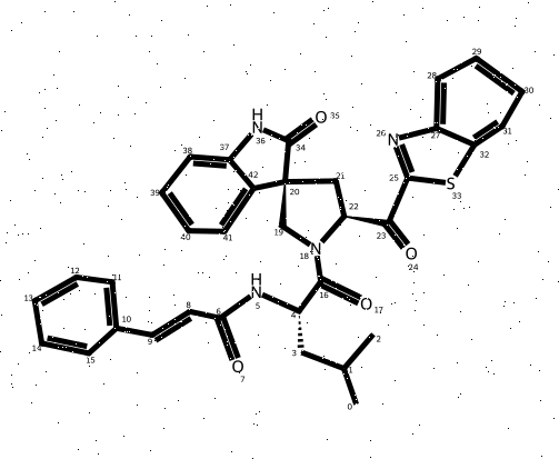 CC(C)C[C@H](NC(=O)C=Cc1ccccc1)C(=O)N1C[C@]2(C[C@H]1C(=O)c1nc3ccccc3s1)C(=O)Nc1ccccc12